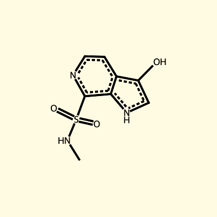 CNS(=O)(=O)c1nccc2c(O)c[nH]c12